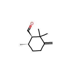 C=C1CC[C@H](C)[C@@H](C=O)C1(C)C